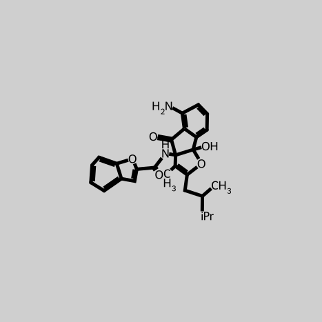 CC1=C(CC(C)C(C)C)OC2(O)c3cccc(N)c3C(=O)C12NC(=O)c1cc2ccccc2o1